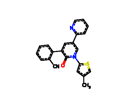 Cc1csc(-n2cc(-c3ccccn3)cc(-c3ccccc3C#N)c2=O)c1